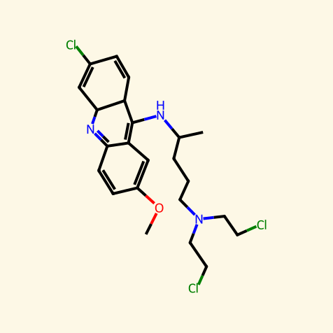 COc1ccc2c(c1)=C(NC(C)CCCN(CCCl)CCCl)C1C=CC(Cl)=CC1N=2